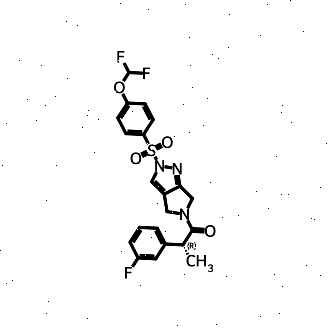 C[C@@H](C(=O)N1Cc2cn(S(=O)(=O)c3ccc(OC(F)F)cc3)nc2C1)c1cccc(F)c1